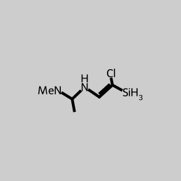 CNC(C)NC=C([SiH3])Cl